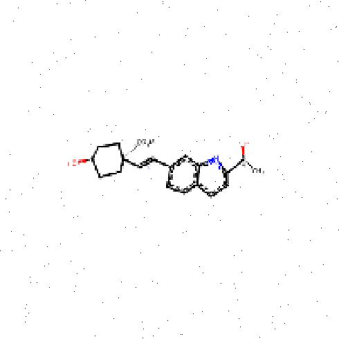 CCOC(=O)[C@]1(/C=C/c2ccc3ccc([C@@H](C)O)nc3c2)CC[C@@H](O)CC1